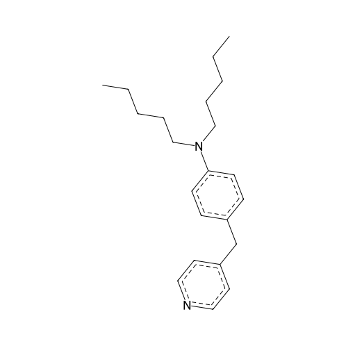 CCCCCN(CCCCC)c1ccc(Cc2ccncc2)cc1